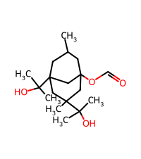 CC1CC2(OC=O)CC(C)(C(C)(C)O)CC(C(C)(C)O)(C1)C2